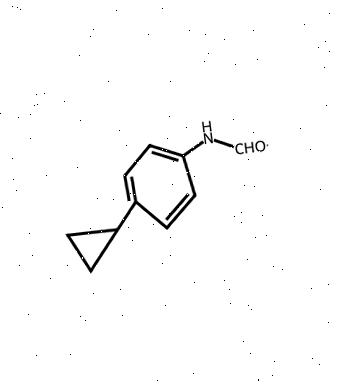 O=[C]Nc1ccc(C2CC2)cc1